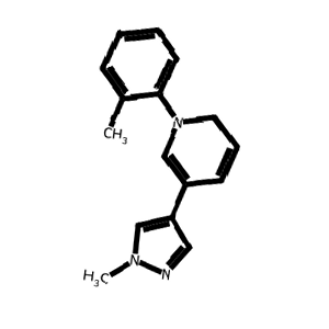 Cc1ccccc1N1C=C(c2cnn(C)c2)C=CC1